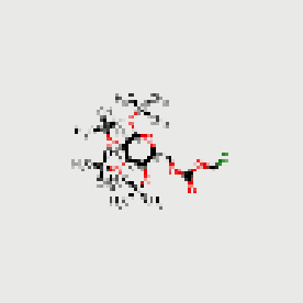 C[Si](C)(C)O[C@H]1O[C@H](COC(=O)OCCl)[C@@H](O[Si](C)(C)C)[C@H](O[Si](C)(C)C)[C@H]1O[Si](C)(C)C